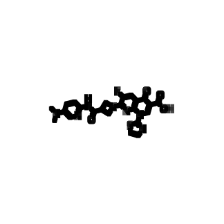 CN(C)c1ccc(NC(=O)C2CN(c3nc4c(cc3F)c(=O)c(C(=O)O)cn4-c3nccs3)C2)nc1